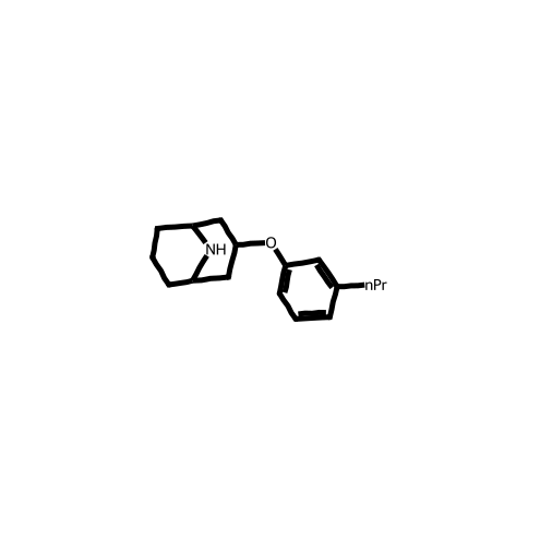 CCCc1cccc(OC2CC3CCCC(C2)N3)c1